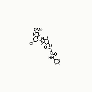 COc1cnc2c(-c3nc4c(C)cc5c(c4s3)OCC(COC(=O)Nc3ccc(C)nc3)O5)cc(Cl)cc2n1